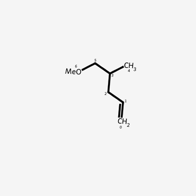 C=CCC(C)COC